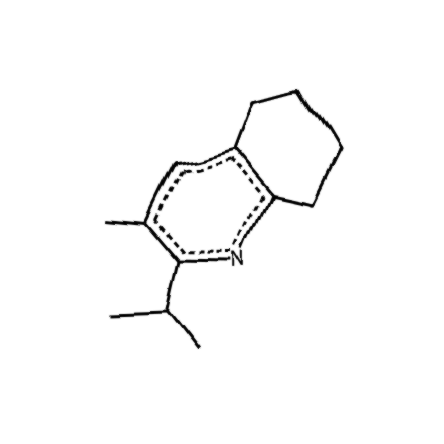 Cc1cc2c(nc1C(C)C)CCCC2